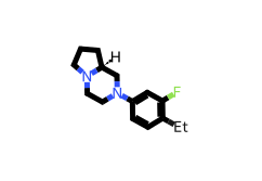 CCc1ccc(N2CCN3CCC[C@H]3C2)cc1F